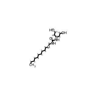 CCCCCCCCCCOCNC(=O)NN(CCO)CCO